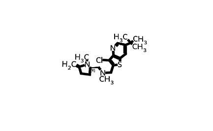 C=C1CC[C@H](CN(C)Cc2sc3cc(C(C)(C)C)cnc3c2Cl)N1C